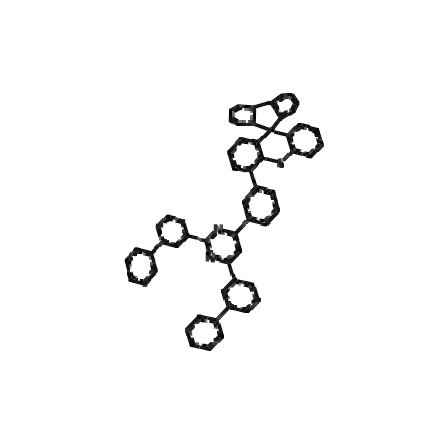 c1ccc(-c2cccc(-c3cc(-c4cccc(-c5cccc6c5Sc5ccccc5C65c6ccccc6-c6ccccc65)c4)nc(-c4cccc(-c5ccccc5)c4)n3)c2)cc1